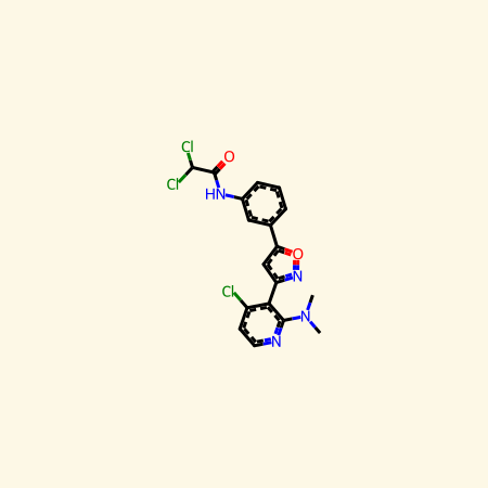 CN(C)c1nccc(Cl)c1-c1cc(-c2cccc(NC(=O)C(Cl)Cl)c2)on1